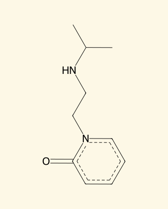 CC(C)NCCn1ccccc1=O